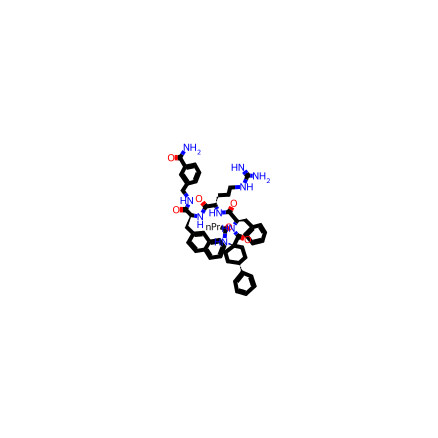 CCCC(=O)N[C@]1(C(=O)N[C@H](Cc2ccccc2)C(=O)N[C@@H](CCCNC(=N)N)C(=O)N[C@@H](Cc2ccc3ccccc3c2)C(=O)NCc2cccc(C(N)=O)c2)CC[C@H](c2ccccc2)CC1